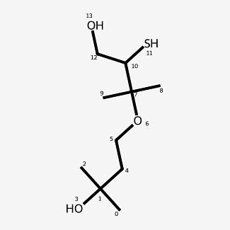 CC(C)(O)CCOC(C)(C)C(S)CO